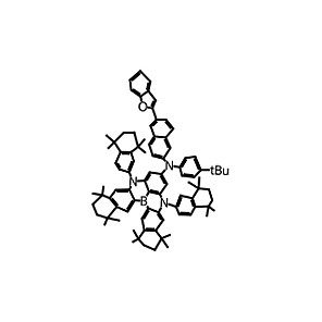 CC(C)(C)c1ccc(N(c2cc3c4c(c2)N(c2ccc5c(c2)C(C)(C)CCC5(C)C)c2cc5c(cc2B4c2cc4c(cc2N3c2ccc3c(c2)C(C)(C)CCC3(C)C)C(C)(C)CCC4(C)C)C(C)(C)CCC5(C)C)c2ccc3cc(-c4cc5ccccc5o4)ccc3c2)cc1